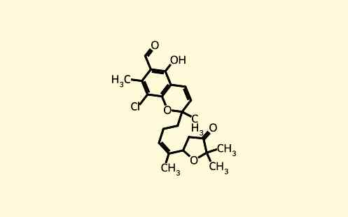 C/C(=C/CCC1(C)C=Cc2c(O)c(C=O)c(C)c(Cl)c2O1)C1CC(=O)C(C)(C)O1